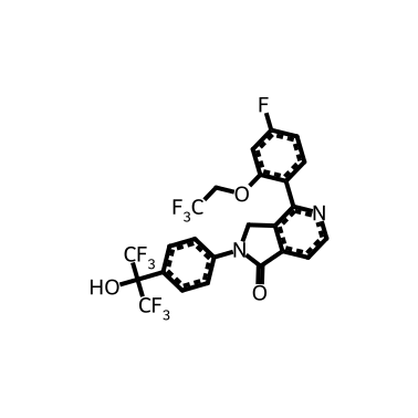 O=C1c2ccnc(-c3ccc(F)cc3OCC(F)(F)F)c2CN1c1ccc(C(O)(C(F)(F)F)C(F)(F)F)cc1